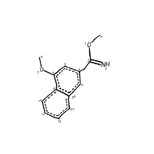 COC(=N)c1cc(OC)c2ccccc2c1